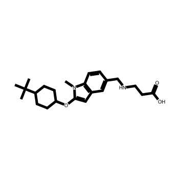 Cn1c(OC2CCC(C(C)(C)C)CC2)cc2cc(CNCCC(=O)O)ccc21